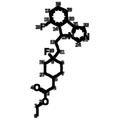 CCOC(=O)CC1CCC(F)(CCC2c3c(F)cccc3-c3cncn32)CC1